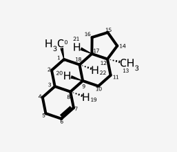 C[C@@H]1CC2CCC=C[C@@H]2[C@H]2CC[C@]3(C)CCC[C@H]3[C@@H]21